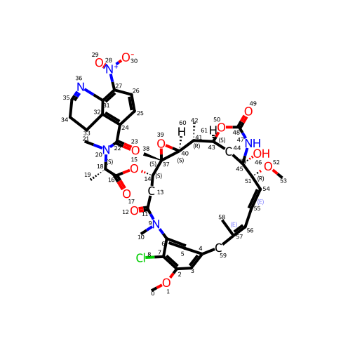 COc1cc2cc(c1Cl)N(C)C(=O)C[C@H](OC(=O)[C@H](C)N(C)C(=O)c1ccc([N+](=O)[O-])c3c1CCC=N3)[C@]1(C)O[C@H]1[C@H](C)[C@@H]1C[C@@](O)(NC(=O)O1)[C@H](OC)/C=C/C=C(\C)C2